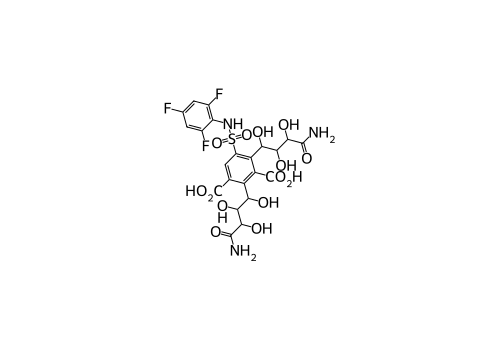 NC(=O)C(O)C(O)C(O)c1c(C(=O)O)cc(S(=O)(=O)Nc2c(F)cc(F)cc2F)c(C(O)C(O)C(O)C(N)=O)c1C(=O)O